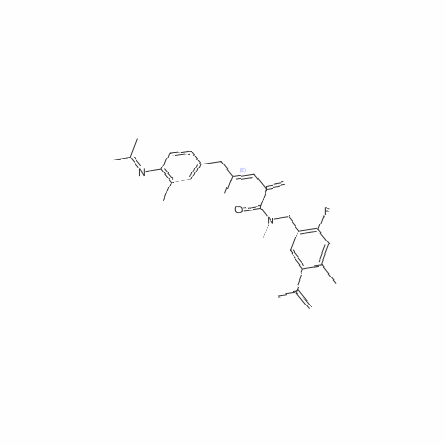 C=C(/C=C(\C)Cc1ccc(N=C(C)C)c(C)c1)C(=O)N(C)Cc1cc(C(=C)C)c(C)cc1F